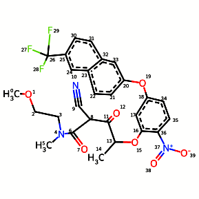 COCCN(C)C(=O)C(C#N)C(=O)C(C)Oc1cc(Oc2ccc3cc(C(F)(F)F)ccc3c2)ccc1[N+](=O)[O-]